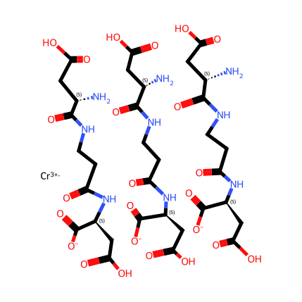 N[C@@H](CC(=O)O)C(=O)NCCC(=O)N[C@@H](CC(=O)O)C(=O)[O-].N[C@@H](CC(=O)O)C(=O)NCCC(=O)N[C@@H](CC(=O)O)C(=O)[O-].N[C@@H](CC(=O)O)C(=O)NCCC(=O)N[C@@H](CC(=O)O)C(=O)[O-].[Cr+3]